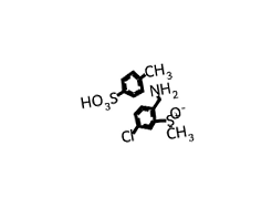 C[S+]([O-])c1cc(Cl)ccc1CN.Cc1ccc(S(=O)(=O)O)cc1